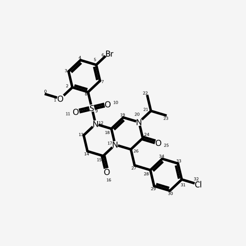 COc1ccc(Br)cc1S(=O)(=O)N1CCC(=O)N2C1=CN(C(C)C)C(=O)C2Cc1ccc(Cl)cc1